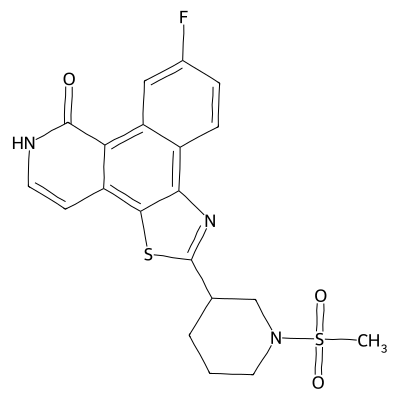 CS(=O)(=O)N1CCCC(c2nc3c4ccc(F)cc4c4c(=O)[nH]ccc4c3s2)C1